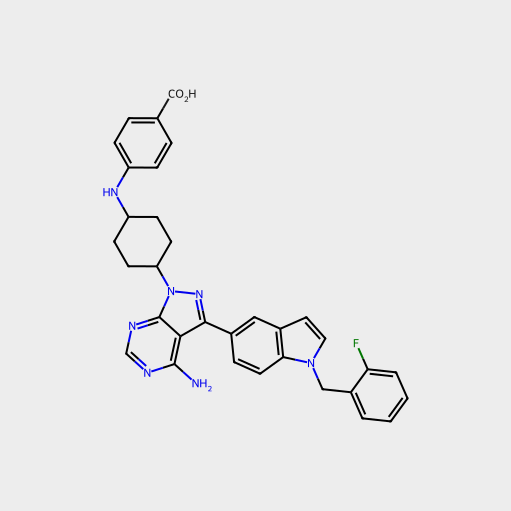 Nc1ncnc2c1c(-c1ccc3c(ccn3Cc3ccccc3F)c1)nn2C1CCC(Nc2ccc(C(=O)O)cc2)CC1